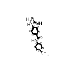 CN1CCC(NC(=O)c2ccc(NC(=N)N)cc2)CC1